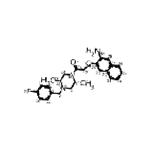 C[C@@H]1CN(Cc2ccc(F)cc2)[C@@H](C)CN1C(=O)COc1cc2ccccc2cc1N